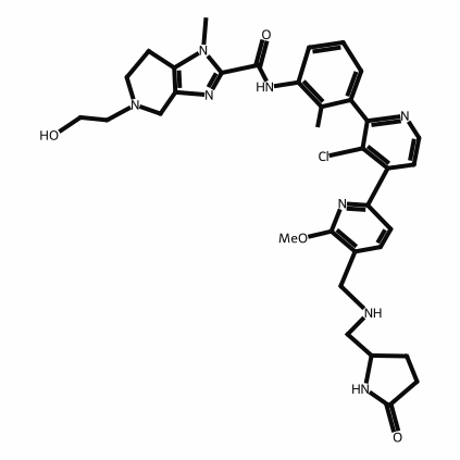 COc1nc(-c2ccnc(-c3cccc(NC(=O)c4nc5c(n4C)CCN(CCO)C5)c3C)c2Cl)ccc1CNCC1CCC(=O)N1